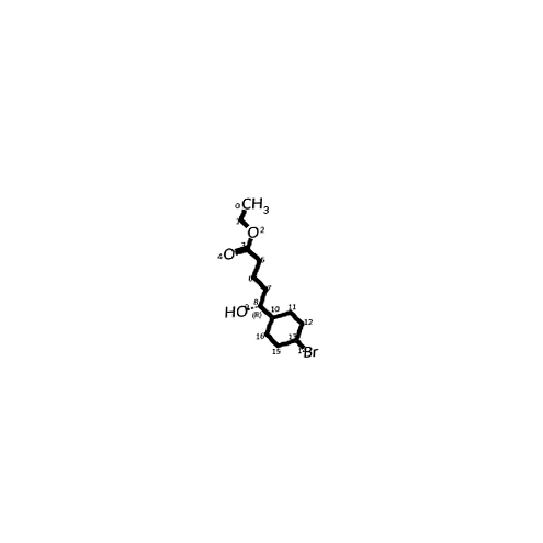 CCOC(=O)CCC[C@@H](O)C1CCC(Br)CC1